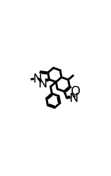 CC1c2oncc2CC2(Cc3ccccc3)c3nn(C)cc3CCC12